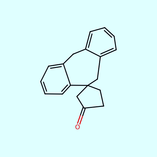 O=C1CCC2(C1)Cc1ccccc1Cc1ccccc12